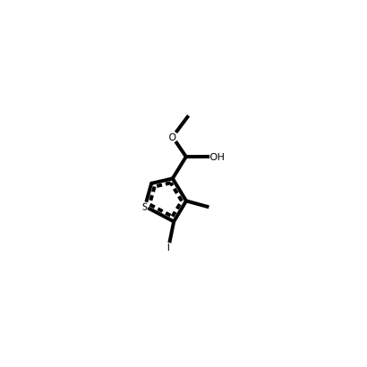 COC(O)c1csc(I)c1C